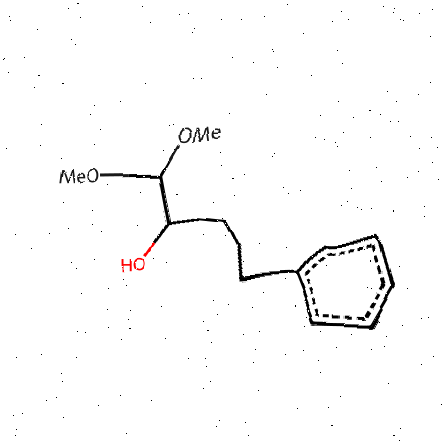 COC(OC)C(O)CCc1ccccc1